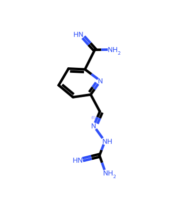 N=C(N)N/N=C/c1cccc(C(=N)N)n1